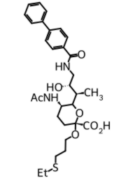 CCSCCCO[C@]1(C(=O)O)CC[C@@H](NC(C)=O)C([C@H](C)[C@H](O)CNC(=O)c2ccc(-c3ccccc3)cc2)O1